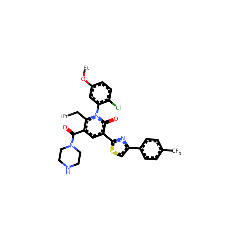 CCOc1ccc(Cl)c(-n2c(CC(C)C)c(C(=O)N3CCNCC3)cc(-c3nc(-c4ccc(C(F)(F)F)cc4)cs3)c2=O)c1